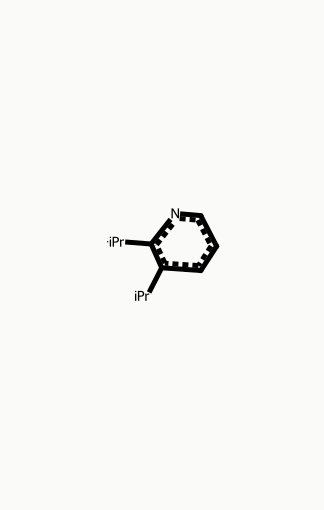 C[C](C)c1ncccc1C(C)C